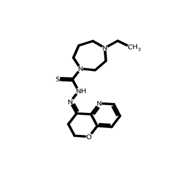 CCN1CCCN(C(=S)N/N=C2/CCOc3cccnc32)CC1